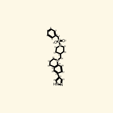 O=S(=O)(Cc1ccccc1)N1CCC(CN2CCCc3cc(-c4cn[nH]c4)ccc32)CC1